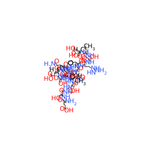 CC(C)C[C@H](NC(=O)[C@H](CCC(N)=O)NC(=O)[C@H](CCC(=O)O)NC(=O)[C@H](CO)NC(=O)[C@H](CO)NC(=O)[C@@H](NC(=O)[C@H](CO)NC(=O)CNC(=O)[C@H](CO)NC(=O)[C@@H](N)CCC(=O)O)C(C)C)C(=O)N[C@@H](C)C(=O)N[C@@H](CCC(N)=O)C(=O)N[C@@H](Cc1ccccc1)C(=O)N[C@@H](CCCNC(=N)N)C(=O)N[C@@H](CO)C(=O)N[C@@H](CC(C)C)C(=O)N[C@@H](CC(=O)O)C(=O)O